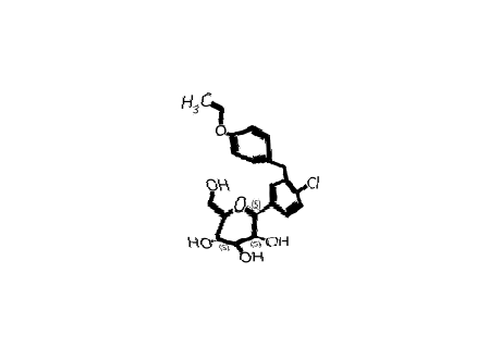 CCOc1ccc(Cc2cc([C@@H]3OC(CO)[C@@H](O)C(O)[C@@H]3O)ccc2Cl)cc1